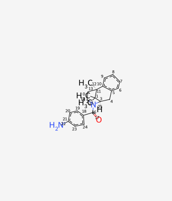 CC1(C)[C@H]2Cc3ccccc3[C@]1(C)CCN2C(=O)c1ccc(N)cc1